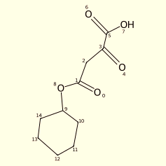 O=C(CC(=O)C(=O)O)OC1CCCCC1